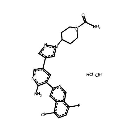 Cl.Cl.NC(=O)N1CCC(n2cc(-c3cnc(N)c(-c4cc5c(Cl)ccc(F)c5cn4)c3)cn2)CC1